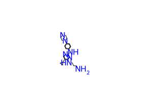 CN1CCN(c2ccc(Nc3ncc(C4CC4)c(NCCCN)n3)cc2)CC1